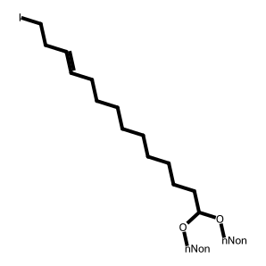 CCCCCCCCCOC(CCCCCCCCC/C=C/CCI)OCCCCCCCCC